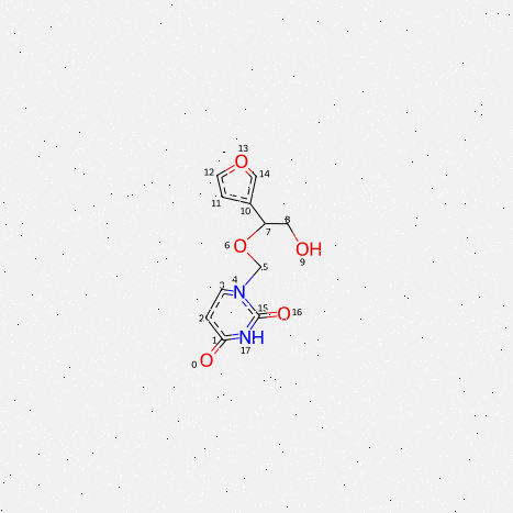 O=c1ccn(COC(CO)c2ccoc2)c(=O)[nH]1